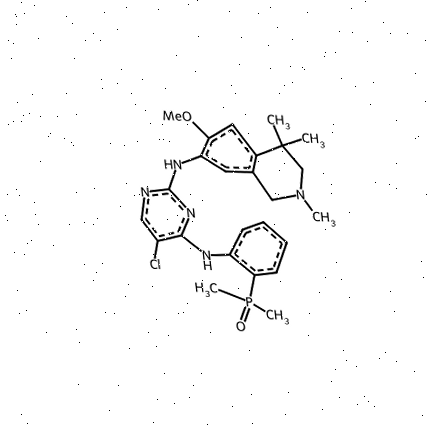 COc1cc2c(cc1Nc1ncc(Cl)c(Nc3ccccc3P(C)(C)=O)n1)CN(C)CC2(C)C